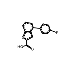 O=C(O)c1cc2c(-c3ccc(F)cc3)cccc2s1